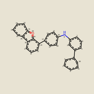 c1ccc(-c2cccc(Nc3ccc(-c4cccc5c4oc4ccccc45)cc3)c2)cc1